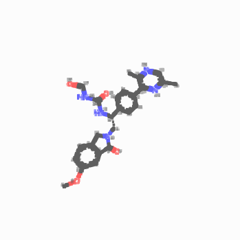 COc1ccc2c(c1)C(=O)N(C[C@H](NC(=O)NC=O)c1ccc(-c3nc(C)cnc3C)cc1)C2